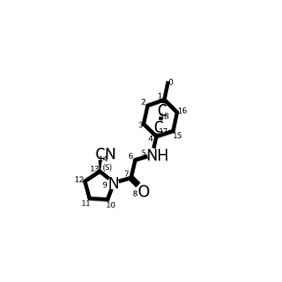 CC12CCC(NCC(=O)N3CCC[C@H]3C#N)(CC1)CC2